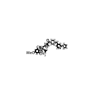 COc1cc(C)c(S(=O)(=O)N(Cc2nc(C(=O)N3CCN(Cc4ccnc(N5CCCC5)c4)CC3)co2)C2CC2)c(C)c1